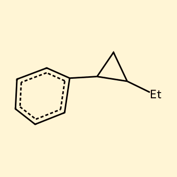 [CH2]CC1CC1c1ccccc1